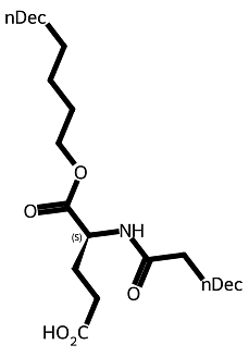 CCCCCCCCCCCCCCOC(=O)[C@H](CCC(=O)O)NC(=O)CCCCCCCCCCC